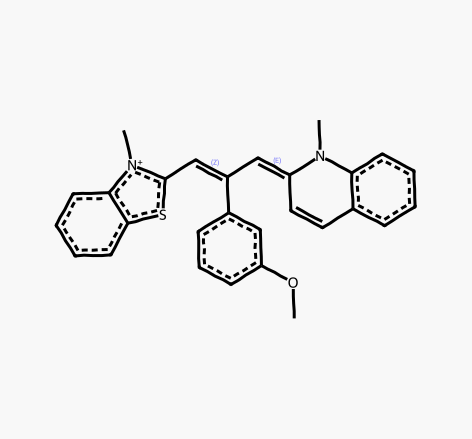 COc1cccc(C(=C\c2sc3ccccc3[n+]2C)/C=C2\C=Cc3ccccc3N2C)c1